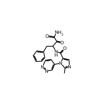 Cc1ncc(C(=O)NC(Cc2ccccc2)C(=O)C(N)=O)n1-c1ccnnc1